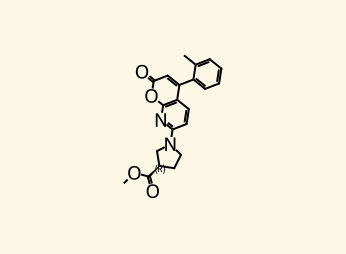 COC(=O)[C@@H]1CCN(c2ccc3c(-c4ccccc4C)cc(=O)oc3n2)C1